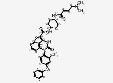 Cc1cc(Oc2ccccc2)ccc1N1C(=O)Nc2c(C(=O)N[C@H]3CC[C@@H](NC(=O)/C=C/CN(C)C)CC3)sc3nccc1c23